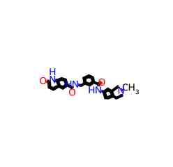 CN1CCc2ccc(NC(=O)c3cccc(CNC(=O)c4ccc5[nH]c(=O)ccc5c4)c3)cc2C1